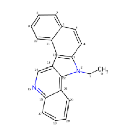 CCn1c2ccc3ccccc3c2c2cnc3ccccc3c21